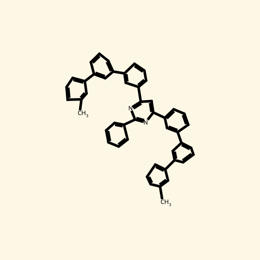 Cc1cccc(-c2cccc(-c3cccc(-c4cc(-c5cccc(-c6cccc(-c7cccc(C)c7)c6)c5)nc(-c5ccccc5)n4)c3)c2)c1